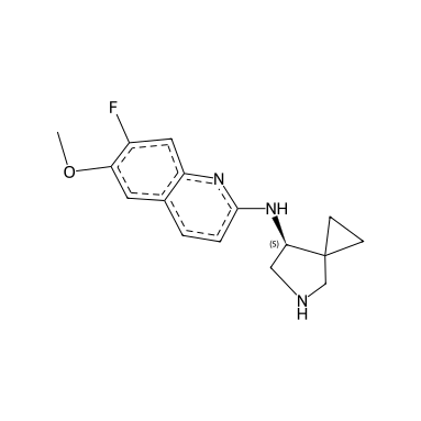 COc1cc2ccc(N[C@@H]3CNCC34CC4)nc2cc1F